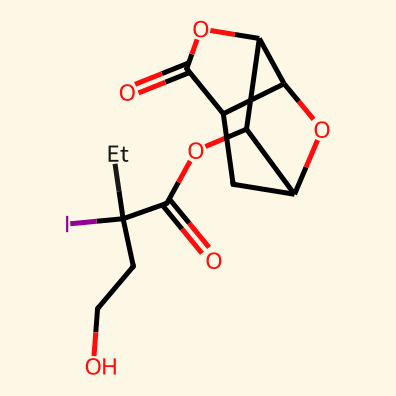 CCC(I)(CCO)C(=O)OC1C2CC3C(=O)OC1C3O2